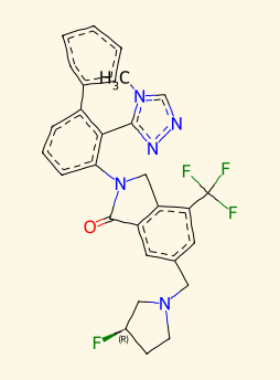 Cn1cnnc1-c1c(-c2ccccc2)cccc1N1Cc2c(cc(CN3CC[C@@H](F)C3)cc2C(F)(F)F)C1=O